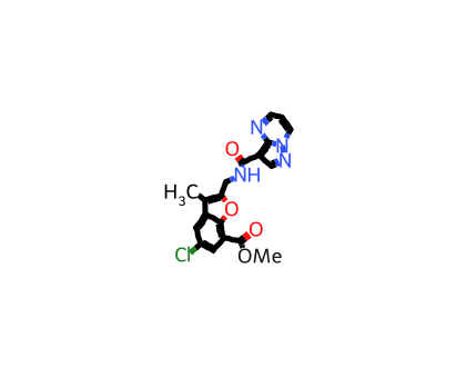 COC(=O)c1cc(Cl)cc2c(C)c(CNC(=O)c3cnn4cccnc34)oc12